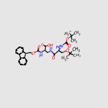 CC(C)(C)OCC(NC(=O)OC(C)(C)C)C(=O)NCC(NC(=O)OCC1c2ccccc2-c2ccccc21)C(=O)O